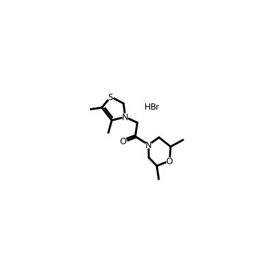 Br.CC1=C(C)N(CC(=O)N2CC(C)OC(C)C2)CS1